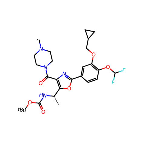 [CH2]N1CCN(C(=O)c2nc(-c3ccc(OC(F)F)c(OCC4CC4)c3)oc2[C@H](C)NC(=O)OC(C)(C)C)CC1